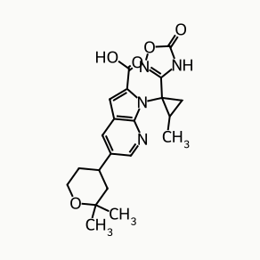 CC1CC1(c1noc(=O)[nH]1)n1c(C(=O)O)cc2cc(C3CCOC(C)(C)C3)cnc21